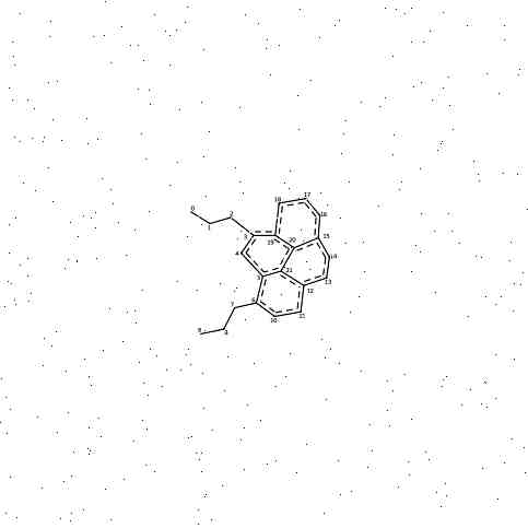 CCCc1cc2c(CCC)ccc3ccc4cccc1c4c32